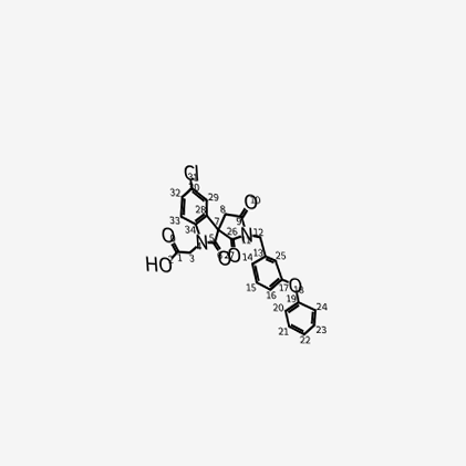 O=C(O)CN1C(=O)C2(CC(=O)N(Cc3cccc(Oc4ccccc4)c3)C2=O)c2cc(Cl)ccc21